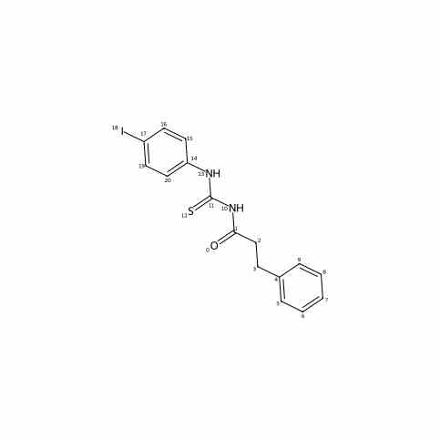 O=C(CCc1ccccc1)NC(=S)Nc1ccc(I)cc1